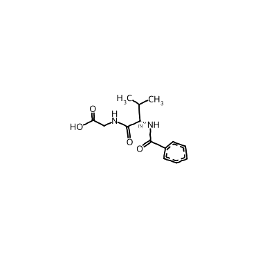 CC(C)[C@H](NC(=O)c1ccccc1)C(=O)NCC(=O)O